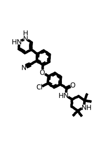 CC1(C)CC(NC(=O)c2ccc(Oc3cccc(C4=CNNC=C4)c3C#N)c(Cl)c2)CC(C)(C)N1